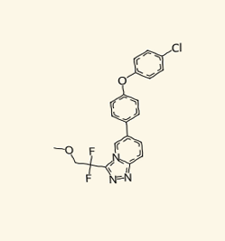 COCC(F)(F)c1nnc2ccc(-c3ccc(Oc4ccc(Cl)cc4)cc3)cn12